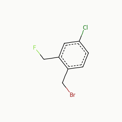 FCc1cc(Cl)ccc1CBr